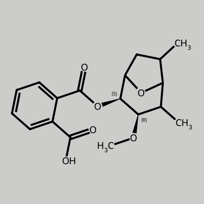 CO[C@@H]1C(C)C2OC(CC2C)[C@@H]1OC(=O)c1ccccc1C(=O)O